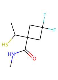 CNC(=O)C1(C(C)S)CC(F)(F)C1